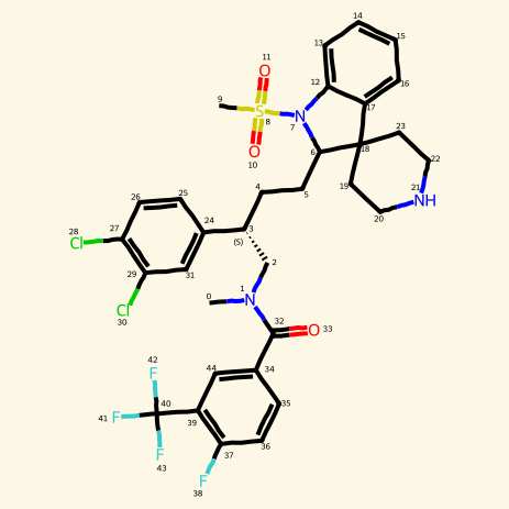 CN(C[C@@H](CCC1N(S(C)(=O)=O)c2ccccc2C12CCNCC2)c1ccc(Cl)c(Cl)c1)C(=O)c1ccc(F)c(C(F)(F)F)c1